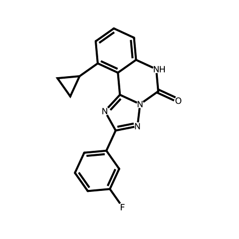 O=c1[nH]c2cccc(C3CC3)c2c2nc(-c3cccc(F)c3)nn12